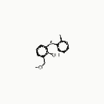 Cc1ccccc1Sc1cccc(CO)c1O